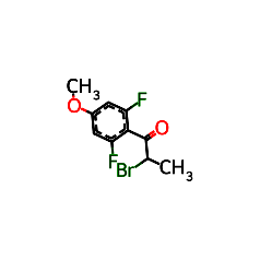 COc1cc(F)c(C(=O)C(C)Br)c(F)c1